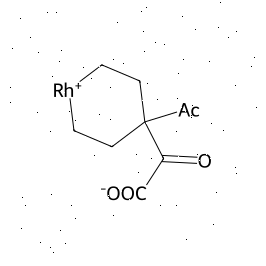 CC(=O)C1(C(=O)C(=O)[O-])C[CH2][Rh+][CH2]C1